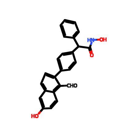 O=Cc1c(-c2ccc(C(C(=O)NO)c3ccccc3)cc2)ccc2cc(O)ccc12